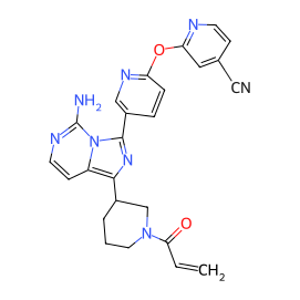 C=CC(=O)N1CCCC(c2nc(-c3ccc(Oc4cc(C#N)ccn4)nc3)n3c(N)nccc23)C1